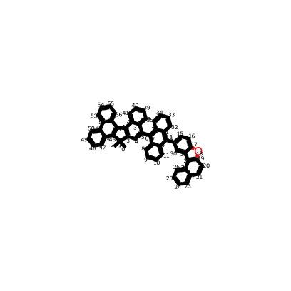 CC1(C)c2cc(-c3c4ccccc4c(-c4ccc5oc6ccc7ccccc7c6c5c4)c4ccccc34)c3ccccc3c2-c2c1c1ccccc1c1ccccc21